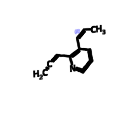 C=C=CC1=C(/C=C\C)C=C=C=N1